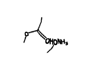 CO.COC(C)=O.N